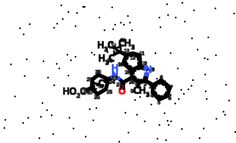 Cc1c(-c2ccccc2)nc2ccc([Si](C)(C)C)cc2c1C(=O)NC12CCC(C(=O)O)(CC1)CC2